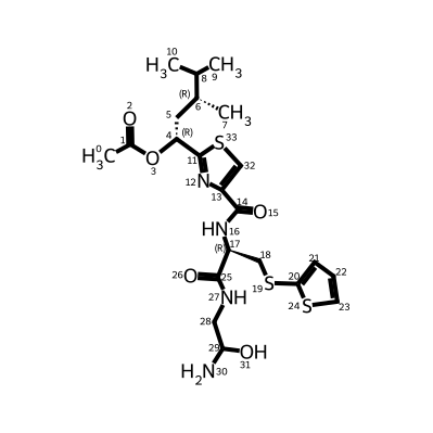 CC(=O)O[C@H](C[C@@H](C)C(C)C)c1nc(C(=O)N[C@@H](CSc2cccs2)C(=O)NCC(N)O)cs1